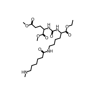 CCOC(=O)C(CCCCNC(=O)CCCCCNC)NC(=O)NC(CCC(=O)OC)C(=O)OC